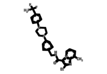 CCc1nc2c(C)cccn2c1C(=O)NCc1ccc(N2CCN(c3ccc(C(F)(F)P)cc3)CC2)cc1